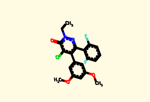 CCn1nc(-c2c(F)cccc2F)c(-c2cc(OC)cc(OC)c2)c(Cl)c1=O